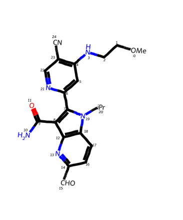 COCCNc1cc(-c2c(C(N)=O)c3nc(C=O)ccc3n2C(C)C)ncc1C#N